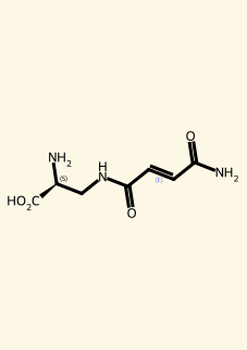 NC(=O)/C=C/C(=O)NC[C@H](N)C(=O)O